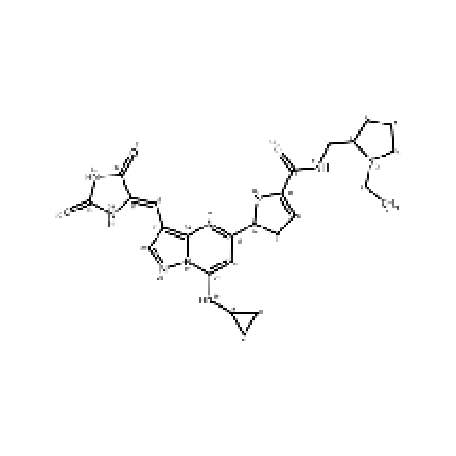 CCN1CCCC1CNC(=O)C1=CCC(c2cc(NC3CC3)n3ncc(/C=C4\NC(=O)NC4=O)c3n2)S1